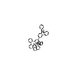 O=[N+]([O-])c1ccccc1N1c2ccc(-c3ccc4c(c3)c3ccccc3n4-c3ccccc3)cc2-c2ccccc2-c2cccc(Cl)c21